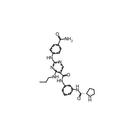 CCCNc1nc(Nc2ccc(C(N)=O)cc2)ncc1C(=O)Nc1cccc(NC(=O)[C@@H]2CCCN2)c1